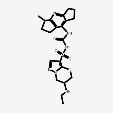 CCNC1COc2c(S(=O)(=O)NC(=O)Nc3c4c(nc5c3CCC5C)CCC4)cnn2C1